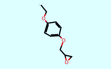 [CH2]COc1ccc(OCC2CO2)cc1